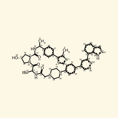 Cc1ncsc1-c1ccc(C(C)NC(=O)[C@@H]2C[C@@H](O)CN2C(=O)C(NC(=O)CN2CCN(c3ccc(-c4cnnc(-c5cccc6cn[nH]c56)c4)cc3)CC2)C(C)(C)C)cc1